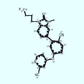 Cn1c(=O)n(CCCC(F)(F)F)c2ccc(-c3cc(Oc4ccnc(C#N)c4)ccc3C#N)cc21